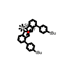 CC1=Cc2c(-c3ccc(C(C)(C)C)cc3)cccc2[CH]1[Zr]([CH3])([CH3])([CH3])([CH3])([SiH3])[CH]1C(C(C)C)=Cc2c(-c3ccc(C(C)(C)C)cc3)cccc21